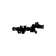 N/C(=N\OC(=O)COc1ccc(Cl)cc1Cl)c1ccc(/C(N)=N/OC(=O)COc2ccc(Cl)cc2Cl)cc1